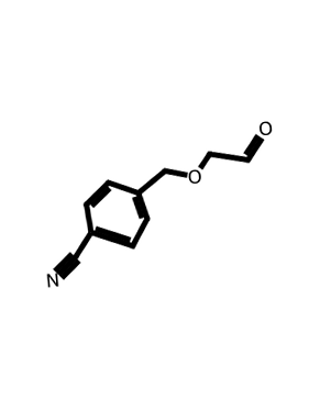 N#Cc1ccc(COCC=O)cc1